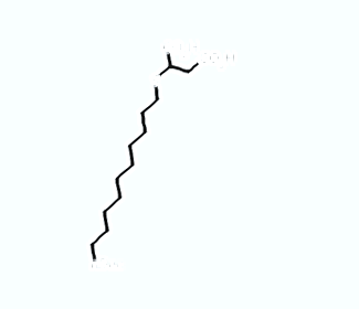 CCCCCCCCCCCCCCCCCCCCSC(CC(=O)O)C(=O)O